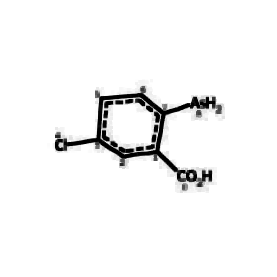 O=C(O)c1cc(Cl)ccc1[AsH2]